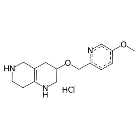 COc1ccc(COC2CNC3=C(CNCC3)C2)nc1.Cl